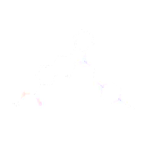 COC(=O)c1ccc(Cc2c(C)n(CCN3CCN(C)CC3)c3ccccc23)cc1